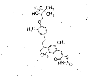 CCC(CCc1ccc(OCC(O)C(C)(C)C)c(C)c1)c1ccc(C=C2SC(=O)NC2=O)c(C)c1